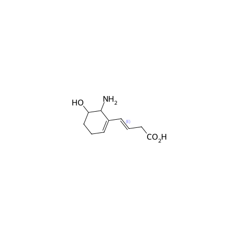 NC1C(/C=C/CC(=O)O)=CCCC1O